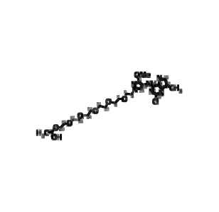 COc1nn(CCOCCOCCOCCOCCOCCOC(C)O)cc1Nc1nc(Cl)nc2c1ncn2C